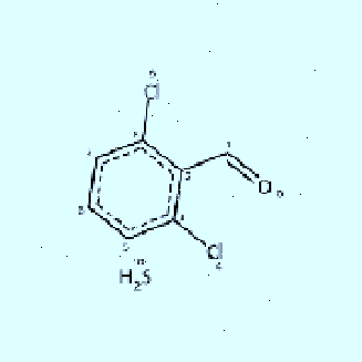 O=Cc1c(Cl)cccc1Cl.S